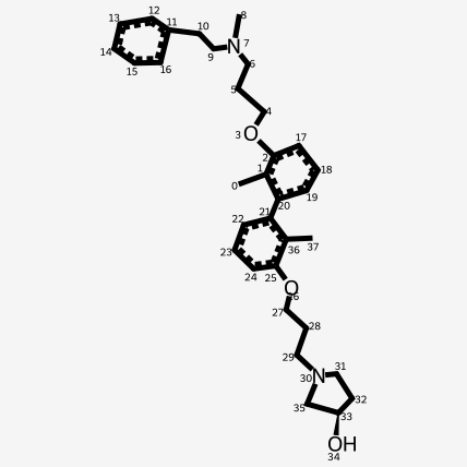 Cc1c(OCCCN(C)CCc2ccccc2)cccc1-c1cccc(OCCCN2CC[C@@H](O)C2)c1C